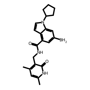 Bc1cc(C(=O)NCc2c(C)cc(C)[nH]c2=O)c2ccn(C3CCCC3)c2c1